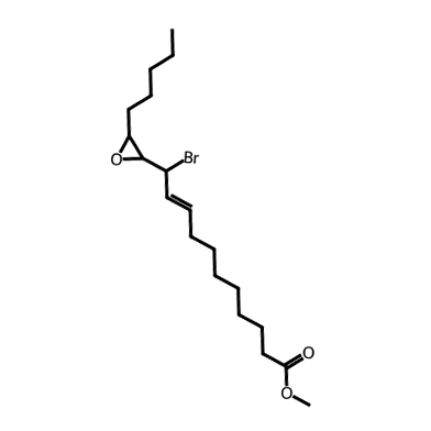 CCCCCC1OC1C(Br)C=CCCCCCCCC(=O)OC